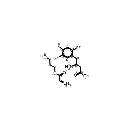 C=CC(=O)OCCCO.NC(CC(=O)O)Cc1cc(F)c(F)cc1F